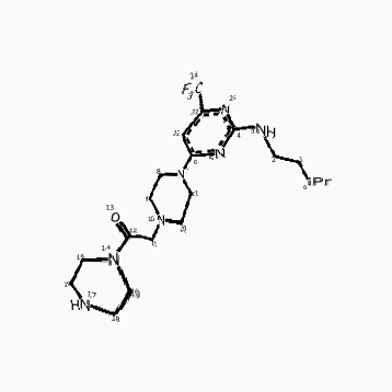 CC(C)CCNc1nc(N2CCN(CC(=O)N3CCNCC3)CC2)cc(C(F)(F)F)n1